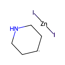 [CH]1CCNCC1.[I][Zn][I]